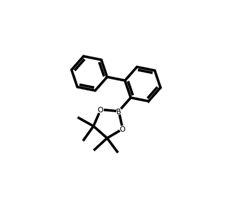 CC1(C)OB(c2[c]cccc2-c2ccccc2)OC1(C)C